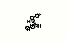 Fc1ccc(-c2cccc3[nH]c(-c4n[nH]c5ccc(-c6ccccn6)nc45)cc23)cc1